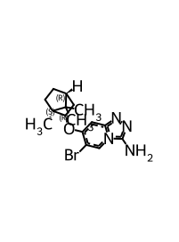 CC1(C)[C@@H]2CC[C@]1(C)[C@H](Oc1cc3nnc(N)n3cc1Br)C2